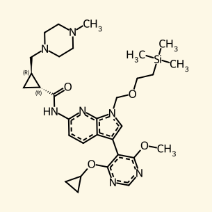 COc1ncnc(OC2CC2)c1-c1cn(COCC[Si](C)(C)C)c2nc(NC(=O)[C@@H]3C[C@H]3CN3CCN(C)CC3)ccc12